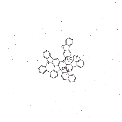 CC1(C)c2ccccc2-c2cccc(N(c3ccc4c(c3)oc3ccccc34)c3cc4c5ccccc5n5c4c4c3C(C)(c3ccc6ccccc6c3)c3cccc(c3-4)-c3ccccc3-5)c21